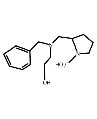 O=C(O)N1CCCC1CN(CCO)Cc1ccccc1